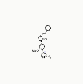 COc1cc(N2CCN(CCc3ccccc3)C2=O)ccc1/C(C=N)=C/N